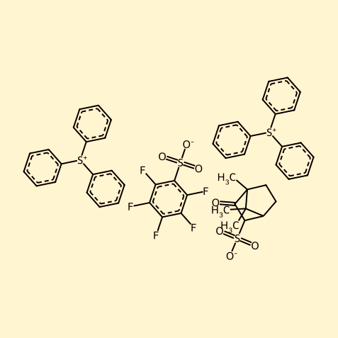 CC12CCC(C(S(=O)(=O)[O-])C1=O)C2(C)C.O=S(=O)([O-])c1c(F)c(F)c(F)c(F)c1F.c1ccc([S+](c2ccccc2)c2ccccc2)cc1.c1ccc([S+](c2ccccc2)c2ccccc2)cc1